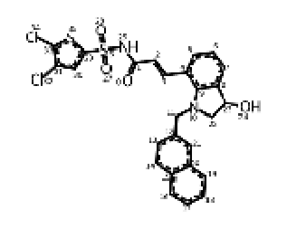 O=C(/C=C/c1cccc2c1N(Cc1ccc3ccccc3c1)C[C@@H]2O)NS(=O)(=O)c1cc(Cl)c(Cl)s1